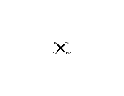 COC(O)(O)N=O